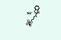 O=S(=O)([O-])OCCCSc1nc2ccccc2s1.[Na+]